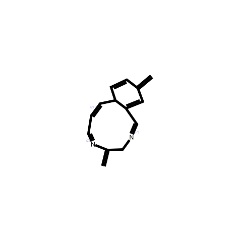 C=C1C=CC2/C=C\C=N/C(=C)C/N=C\C2=C1